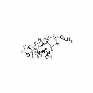 CO[C@H]1CC[C@@]2(C)C(=C[C@@H](O)[C@@H]3[C@@H]2CC[C@@]2(C)[C@H]3CCC23OCCO3)C1